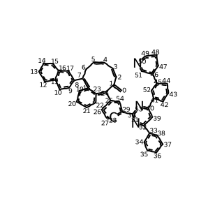 C=C1/C=C\C=C/C/C(c2ccc3ccccc3c2)=c2/cccc/c2=C/1c1cccc(-c2nc(-c3ccccc3)cc(-c3cccc(-c4cccnc4)c3)n2)c1